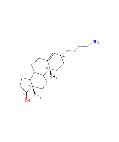 C[C@]12CC[C@@H](SCCCN)C=C1CCC1C2CC[C@@]2(C)C1CC[C@@H]2O